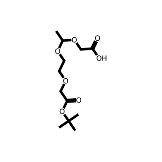 CC(OCCOCC(=O)OC(C)(C)C)OCC(=O)O